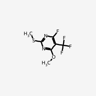 COc1nc(SC)nc(F)c1C(F)(F)F